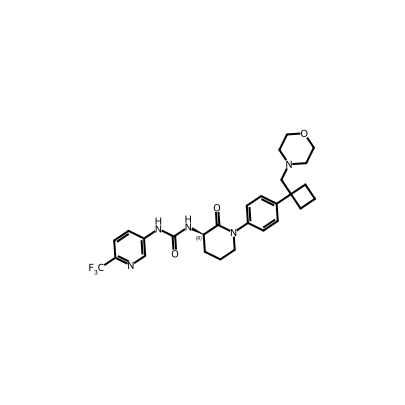 O=C(Nc1ccc(C(F)(F)F)nc1)N[C@@H]1CCCN(c2ccc(C3(CN4CCOCC4)CCC3)cc2)C1=O